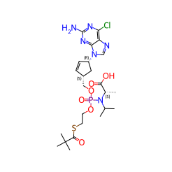 CC(C)N([C@@H](C)C(=O)O)P(=O)(OCCSC(=O)C(C)(C)C)OC[C@@H]1C=C[C@H](n2cnc3c(Cl)nc(N)nc32)C1